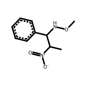 CONC(c1ccccc1)C(C)[N+](=O)[O-]